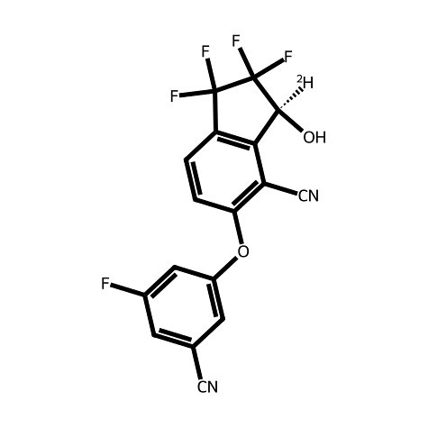 [2H][C@]1(O)c2c(ccc(Oc3cc(F)cc(C#N)c3)c2C#N)C(F)(F)C1(F)F